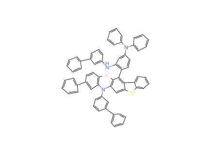 B1c2ccc(-c3ccccc3)cc2N(c2cccc(-c3ccccc3)c2)c2cc3sc4ccccc4c3c(-c3ccc(N(c4ccccc4)c4ccccc4)cc3Nc3cccc(-c4ccccc4)c3)c21